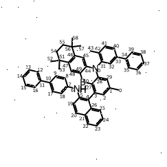 Cc1cc(-c2c(Nc3ccc(-c4ccccc4)cc3)ccc3ccccc23)c2c(c1)N(c1cc(-c3ccccc3)ccc1C)c1cc3c(cc1B2)C(C)(C)CCC3(C)C